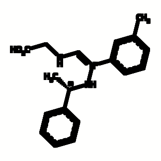 Cc1cccc([N+](=CNCC(=O)O)N[C@@H](C)c2ccccc2)c1